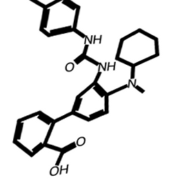 Cc1ccc(NC(=O)Nc2cc(-c3ccccc3C(=O)O)ccc2N(C)C2CCCCC2)cc1